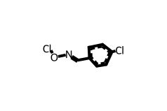 ClON=Cc1ccc(Cl)cc1